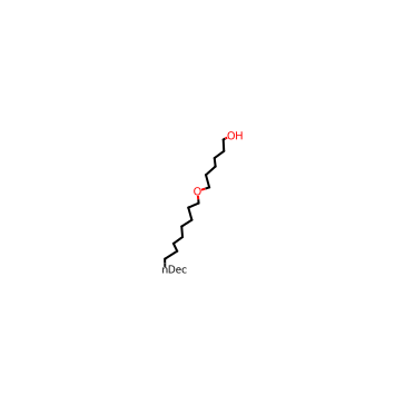 CCCCCCCCCCCCCCCCCCOCCCCCCO